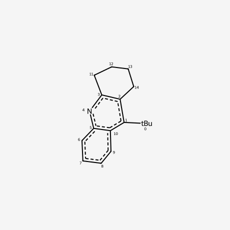 CC(C)(C)c1c2c(nc3ccccc13)CCCC2